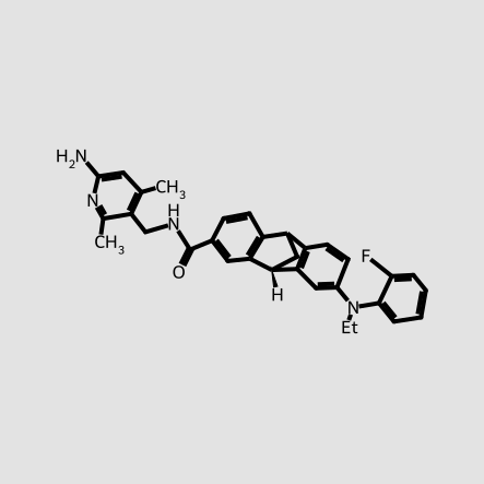 CCN(c1ccc2c(c1)[C@H]1CC2c2ccc(C(=O)NCc3c(C)cc(N)nc3C)cc21)c1ccccc1F